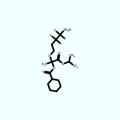 CC(OC(=O)C(OCCC(F)(F)C(F)(F)S(=O)(=O)O)(OC(=O)C1CCCCC1)C(F)(F)F)C(F)(F)F